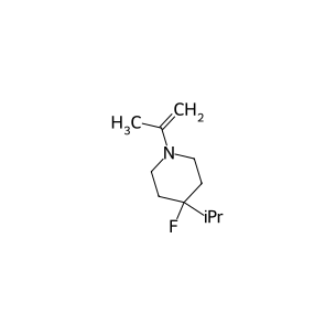 C=C(C)N1CCC(F)(C(C)C)CC1